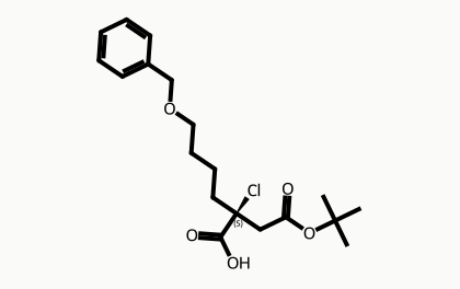 CC(C)(C)OC(=O)C[C@@](Cl)(CCCCOCc1ccccc1)C(=O)O